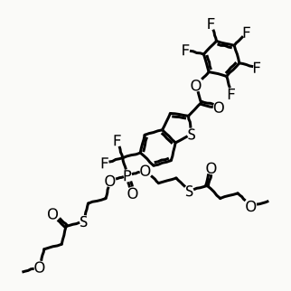 COCCC(=O)SCCOP(=O)(OCCSC(=O)CCOC)C(F)(F)c1ccc2sc(C(=O)Oc3c(F)c(F)c(F)c(F)c3F)cc2c1